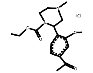 CCOC(=O)N1CCN(C)CC1c1ccc(C(C)=O)cc1OC.Cl